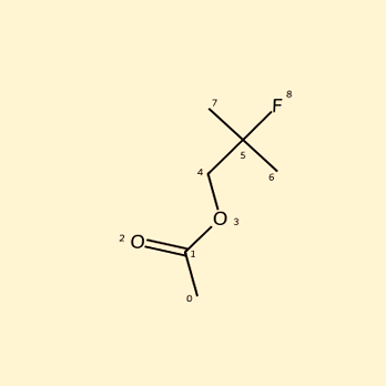 CC(=O)OCC(C)(C)F